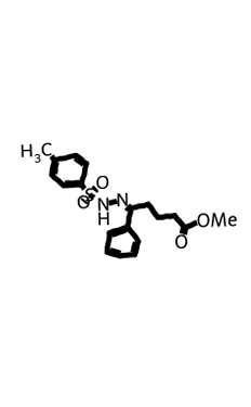 COC(=O)CCCC(=NNS(=O)(=O)c1ccc(C)cc1)c1ccccc1